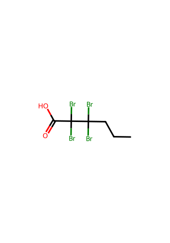 CCCC(Br)(Br)C(Br)(Br)C(=O)O